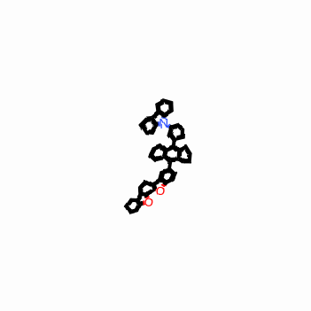 c1cc(-c2c3ccccc3c(-c3ccc4oc5c(ccc6c7ccccc7oc65)c4c3)c3ccccc23)cc(-n2c3ccccc3c3ccccc32)c1